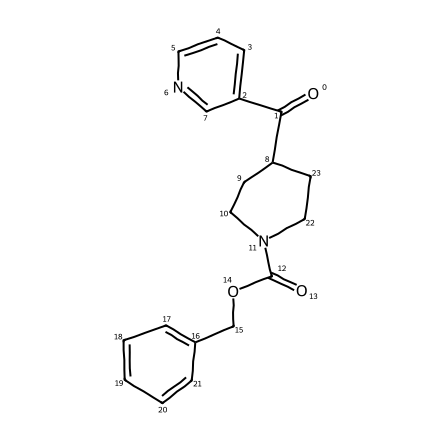 O=C(c1cccnc1)C1CCN(C(=O)OCc2ccccc2)CC1